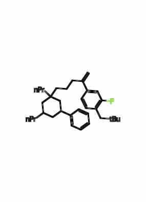 C=C(CCCC1(CCC)CC(CCC)CC(c2ccccc2)C1)c1ccc(CC(C)(C)C)c(F)c1